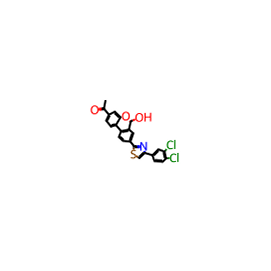 CC(=O)c1ccc(-c2ccc(-c3nc(-c4ccc(Cl)c(Cl)c4)cs3)cc2C(=O)O)cc1